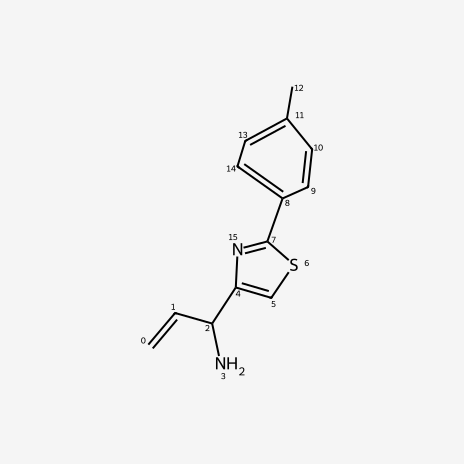 C=CC(N)c1csc(-c2ccc(C)cc2)n1